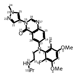 COc1cc(OC)c(F)c(N(CCNC(C)C)c2ccc3ncn(-c4cnn(C)c4)c(=O)c3c2)c1F